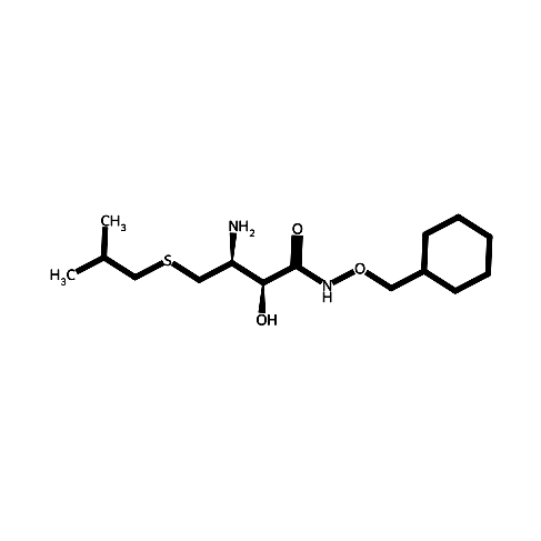 CC(C)CSC[C@@H](N)[C@H](O)C(=O)NOCC1CCCCC1